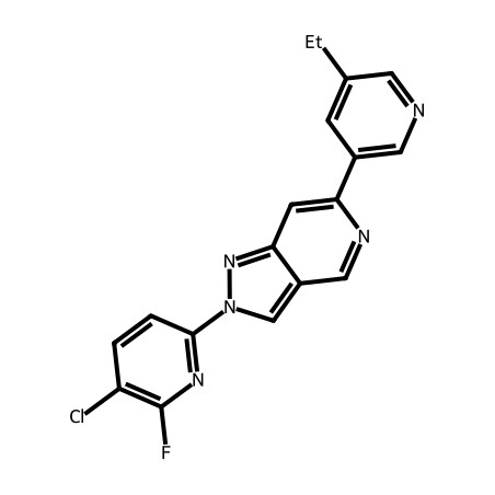 CCc1cncc(-c2cc3nn(-c4ccc(Cl)c(F)n4)cc3cn2)c1